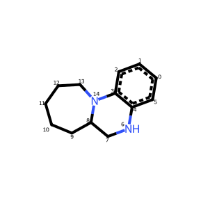 c1ccc2c(c1)NCC1CCCCCN21